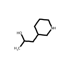 CC(O)CC1CCCNC1